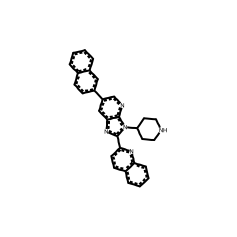 c1ccc2cc(-c3cnc4c(c3)nc(-c3ccc5ccccc5n3)n4C3CCNCC3)ccc2c1